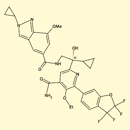 CCOc1c(C(N)=O)cc([C@@](O)(CNC(=O)c2cc(OC)c3nn(C4CC4)cc3c2)C2CC2)nc1-c1ccc2c(c1)OC(F)(F)C2(F)F